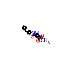 CN1C(=O)c2ccc(C(=O)Nc3ccc(Cc4ccccc4)cc3)cc2C1=O